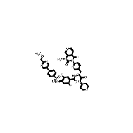 COCc1ncc(-c2ccc(S(=O)(=O)Nc3cc(F)c(C(=O)N[C@@H](Cc4ccc(-n5c(=O)c6ccncc6n(C)c5=O)nc4)C(=O)OC4CCOCC4)cc3F)cc2)cn1